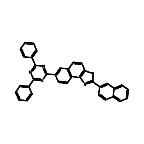 c1ccc(-c2nc(-c3ccccc3)nc(-c3ccc4c(ccc5sc(-c6ccc7ccccc7c6)nc54)c3)n2)cc1